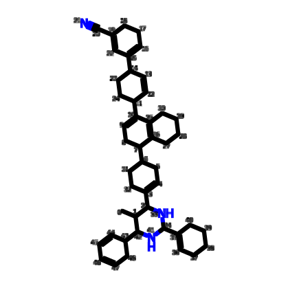 CC1C(C2=CCC(C3CC=C(C4C=CC(C5=CCCC(C#N)=C5)CC4)C4=C3CCCC4)CC2)NC(C2=CCCCC2)NC1C1C=CC=CC1